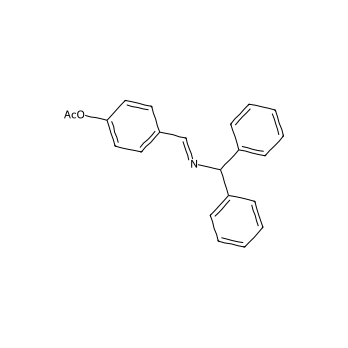 CC(=O)Oc1ccc(/C=N/C(c2ccccc2)c2ccccc2)cc1